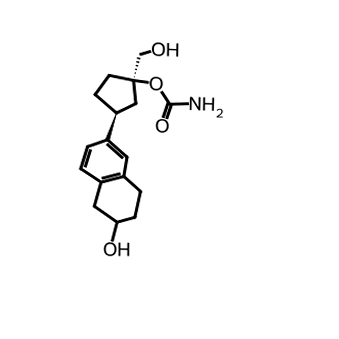 NC(=O)O[C@]1(CO)CC[C@H](c2ccc3c(c2)CCC(O)C3)C1